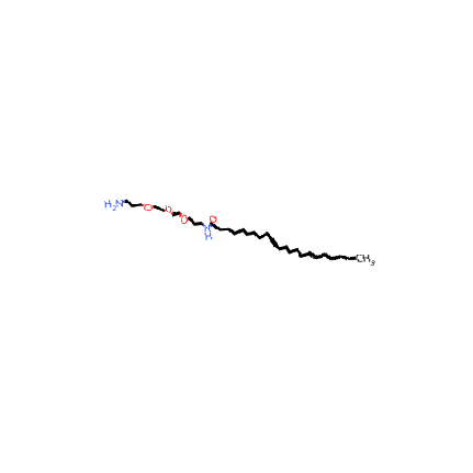 CCCCCCCCCCCCC#CCCCCCCCCC(=O)NCCCOCCOCCOCCCN